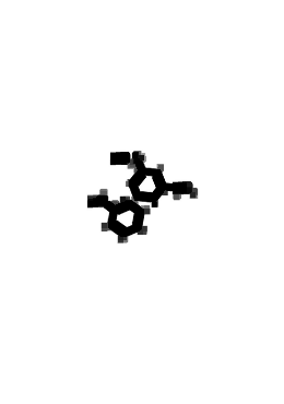 O=[N+]([O-])c1cccc(S(=O)(=O)O)c1.Oc1ccccc1